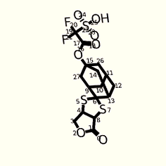 O=C1OCC2SC3(SC12)C1CC2CC3CC(OC(=O)C(F)(F)S(=O)(=O)O)(C2)C1